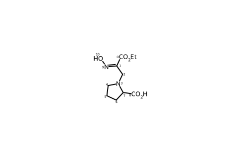 CCOC(=O)C(CN1CCCC1C(=O)O)=NO